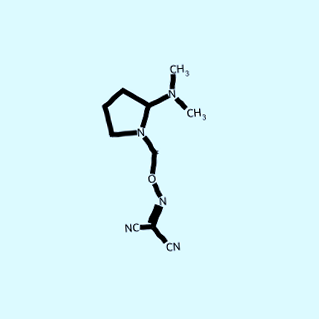 CN(C)C1CCCN1[C]ON=C(C#N)C#N